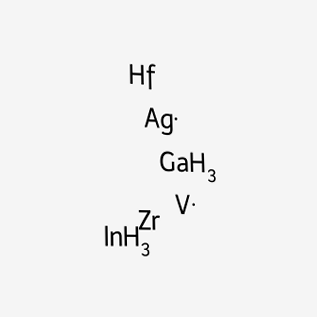 [Ag].[GaH3].[Hf].[InH3].[V].[Zr]